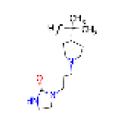 CC(C)(C)C1CCN(CCCN2CCNC2=O)CC1